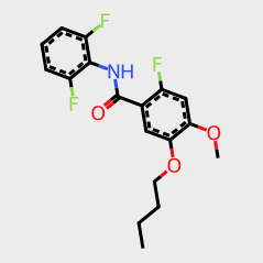 CCCCOc1cc(C(=O)Nc2c(F)cccc2F)c(F)cc1OC